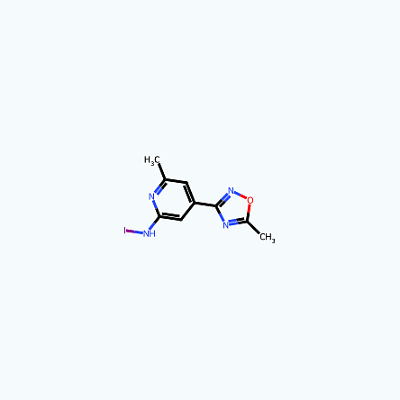 Cc1cc(-c2noc(C)n2)cc(NI)n1